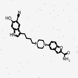 N#Cc1cc2c(CCCCN3CCN(c4ccc5oc(C(N)=O)cc5c4)CC3)c[nH]c2cc1O